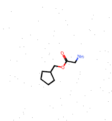 [NH]CC(=O)OCC1CCCC1